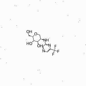 OC[C@H]1OC[C@@H](Nc2cncc(C(F)(F)F)n2)[C@@H](O)[C@H]1O